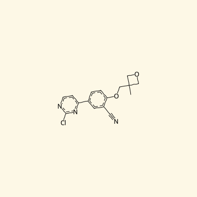 CC1(COc2ccc(-c3ccnc(Cl)n3)cc2C#N)COC1